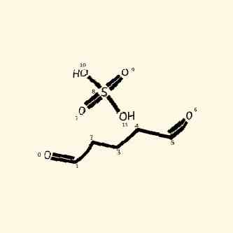 O=CCCCC=O.O=S(=O)(O)O